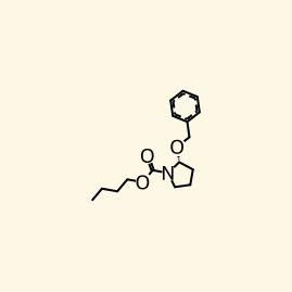 CCCCOC(=O)N1CCC[C@H]1OCc1ccccc1